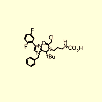 CC(C)(C)C(c1nc(-c2cc(F)ccc2F)cn1Cc1ccccc1)N(CCCNC(=O)O)C(=O)CCl